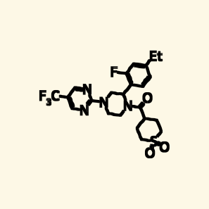 CCc1ccc(C2CN(c3ncc(C(F)(F)F)cn3)CCN2C(=O)C2CCS(=O)(=O)CC2)c(F)c1